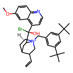 C=CC1C[N+]2(Cc3cc(C(C)(C)C)cc(C(C)(C)C)c3)CCC1C[C@H]2[C@](O)(Br)c1ccnc2ccc(OC)cc12